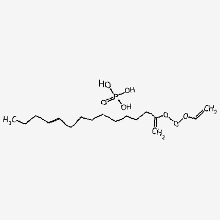 C=COOOC(=C)CCCCCCCCCCCCC.O=P(O)(O)O